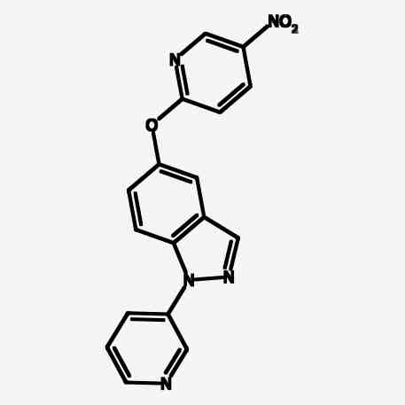 O=[N+]([O-])c1ccc(Oc2ccc3c(cnn3-c3cccnc3)c2)nc1